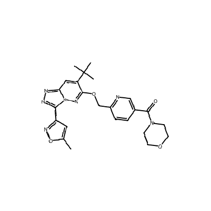 Cc1cc(-c2nnc3cc(C(C)(C)C)c(OCc4ccc(C(=O)N5CCOCC5)cn4)nn23)no1